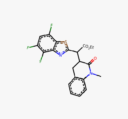 CCOC(=O)C(c1nc2c(F)c(F)cc(F)c2s1)C1Cc2ccccc2N(C)C1=O